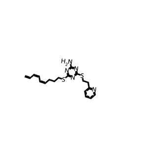 C=C/C=C\C=C/CCCSc1nc(N)nc(SCCc2ccccn2)n1